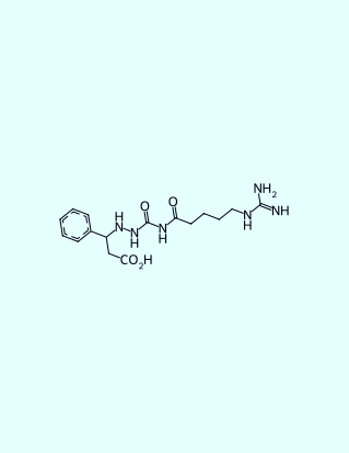 N=C(N)NCCCCC(=O)NC(=O)NNC(CC(=O)O)c1ccccc1